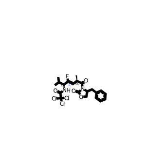 CC(C)[C@H](NC(=O)C(Cl)(Cl)Cl)/C(F)=C/[C@@H](C)C(=O)N1C(=O)OCC1Cc1ccccc1